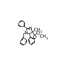 COC(=O)C1(C)N=C(c2ccccc2)N(Cc2ccccc2)C1c1ccccc1